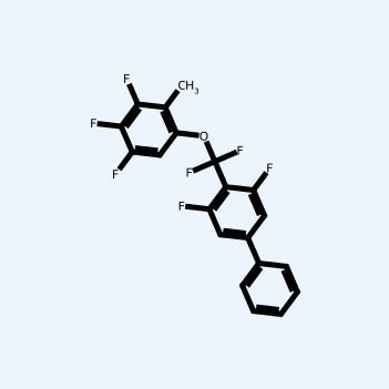 Cc1c(OC(F)(F)c2c(F)cc(-c3ccccc3)cc2F)cc(F)c(F)c1F